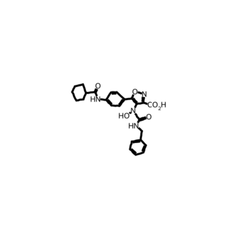 O=C(O)c1noc(-c2ccc(NC(=O)C3CCCCC3)cc2)c1N(O)C(=O)NCc1ccccc1